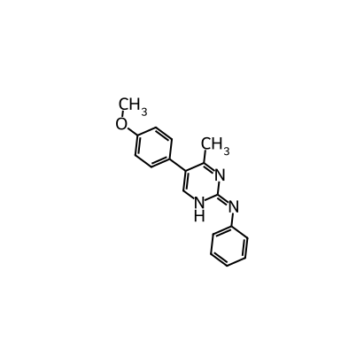 COc1ccc(-c2c[nH]c(=Nc3ccccc3)nc2C)cc1